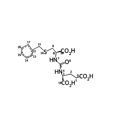 O=C(O)CC[C@H](NC(=O)N[C@@H](CSCc1ccccc1)C(=O)O)C(=O)O